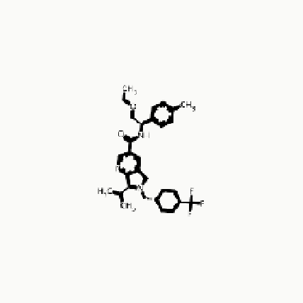 CCOC[C@H](NC(=O)c1cnc2c(c1)CN(C[C@H]1CC[C@H](C(F)(F)F)CC1)[C@H]2C(C)C)c1ccc(C)cc1